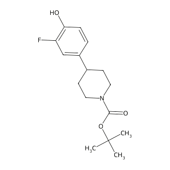 CC(C)(C)OC(=O)N1CCC(c2ccc(O)c(F)c2)CC1